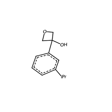 CC(C)c1cccc(C2(O)COC2)c1